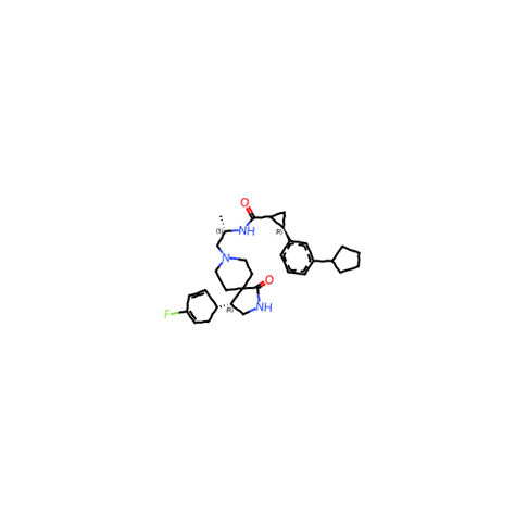 C[C@@H](CN1CCC2(CC1)C(=O)NC[C@@H]2C1C=CC(F)=CC1)NC(=O)C1C[C@H]1c1cccc(C2CCCC2)c1